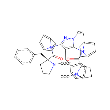 Cn1nc([N+]2(C(=O)[C@@]3(Cc4ccccc4)CCCN3C(=O)[O-])C3=CC=C2C=C3)c(Cc2ccccc2)c1[N+]1(C(=O)[C@@H]2CCCN2C(=O)[O-])C2=CC=C1C=C2